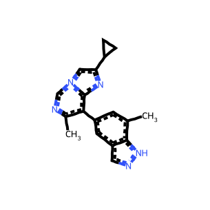 Cc1ncn2cc(C3CC3)nc2c1-c1cc(C)c2[nH]ncc2c1